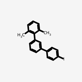 Cc1cccc(C)c1-c1cccc(-c2ccc(I)cc2)c1